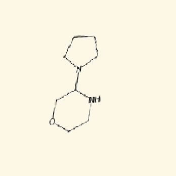 C1CCN(C2COCCN2)C1